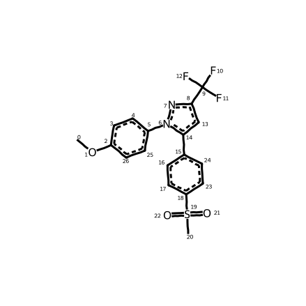 COc1ccc(-n2nc(C(F)(F)F)cc2-c2ccc(S(C)(=O)=O)cc2)cc1